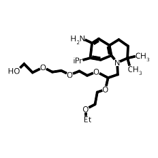 CCOCCOC(CN1c2cc(C(C)C)c(N)cc2CCC1(C)C)OCCOCCOCCO